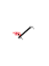 CCCCCCCCCCCCCCC(CCC)OCCOP(=O)(O)O